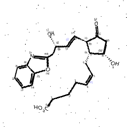 O=C(O)CCC/C=C\C[C@H]1[C@@H](O)CC(=O)[C@@H]1/C=C/[C@@H](O)c1nc2ccccc2o1